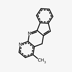 Cc1ccnc2c1CC1=Cc3ccccc3C1=N2